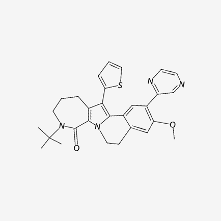 COc1cc2c(cc1-c1cnccn1)-c1c(-c3cccs3)c3c(n1CC2)C(=O)N(C(C)(C)C)CCC3